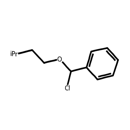 CC(C)CCOC(Cl)c1ccccc1